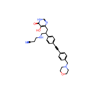 N#CCCNCC(Cc1nc[nH]c(=O)c1O)c1ccc(C#Cc2ccc(CN3CCOCC3)cc2)cc1